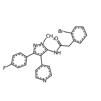 Cn1nc(-c2ccc(F)cc2)c(-c2ccncc2)c1NC(=O)Cc1ccccc1Br